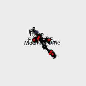 COC(=O)N[C@H](C(=O)N[C@@H](Cc1ccc(C#Cc2ccc(N3CC4CCC(C3)N4[C@@H]3CCOC3)nc2)cc1)[C@@H](O)CN(Cc1c(F)cc(C(=N)/C=C\NC(F)F)cc1F)NC(=O)[C@@H](NC(=O)OC)C(C)(C)C(F)(F)F)C(C)(C)C(F)(F)F